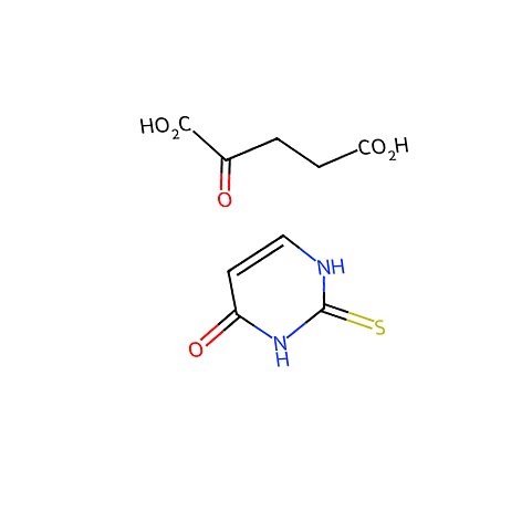 O=C(O)CCC(=O)C(=O)O.O=c1cc[nH]c(=S)[nH]1